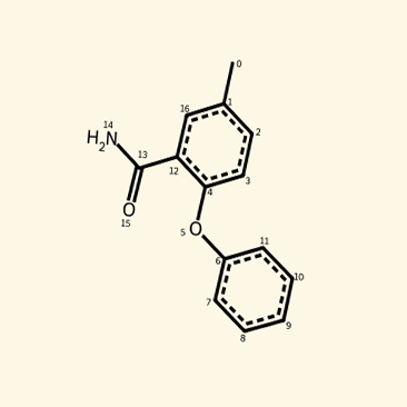 Cc1ccc(Oc2ccccc2)c(C(N)=O)c1